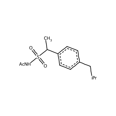 CC(=O)NS(=O)(=O)C(C)c1ccc(CC(C)C)cc1